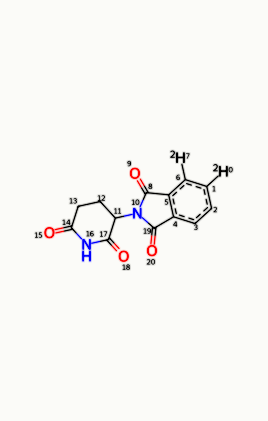 [2H]c1ccc2c(c1[2H])C(=O)N(C1CCC(=O)NC1=O)C2=O